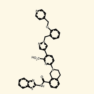 O=C(Nc1nc2ccccc2s1)c1cccc2c1CN(c1ccc(-c3cnn(Cc4ccccc4OCc4ccncc4)c3)c(C(=O)O)n1)CC2